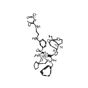 COC(=N[N+](=O)[O-])NCCNc1cccc(S(=O)(=O)NOC2(C[C@@H](O)[C@H](Cc3ccccc3)NC(=O)O[C@H]3CO[C@H]4OCC[C@H]43)CCCC2)c1